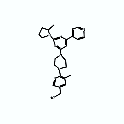 Cc1cc(CO)cnc1N1CCN(c2cc(-c3ccncc3)nc(N3CCCC3C)n2)CC1